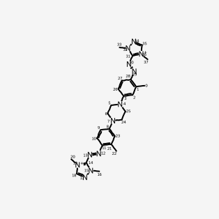 Cc1cc(N2CCN(c3ccc(N=Nc4n(C)nc[n+]4C)c(C)c3)CC2)ccc1N=Nc1n(C)nc[n+]1C